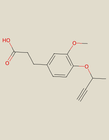 C#CC(C)Oc1ccc(CCC(=O)O)cc1OC